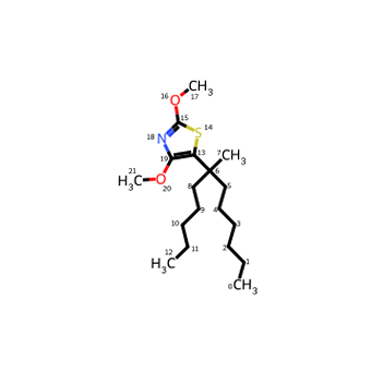 CCCCCCC(C)(CCCCC)c1sc(OC)nc1OC